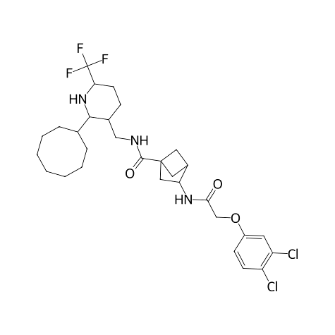 O=C(COc1ccc(Cl)c(Cl)c1)NC1CC2(C(=O)NCC3CCC(C(F)(F)F)NC3C3CCCCCCC3)CC1C2